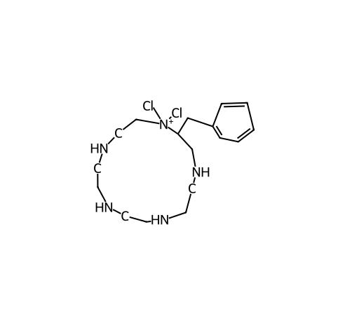 Cl[N+]1(Cl)CCNCCNCCNCCNCC1Cc1ccccc1